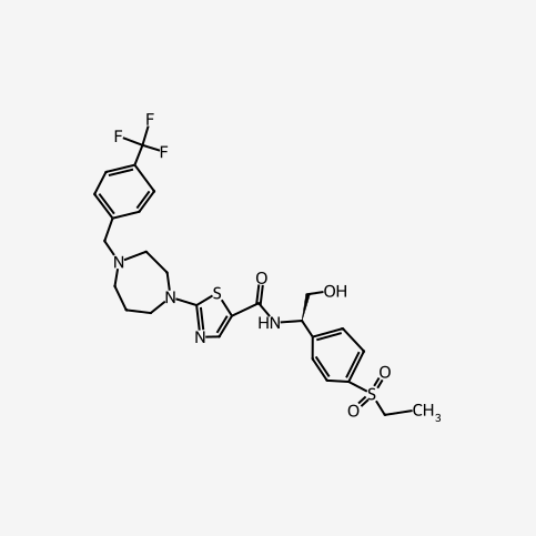 CCS(=O)(=O)c1ccc([C@H](CO)NC(=O)c2cnc(N3CCCN(Cc4ccc(C(F)(F)F)cc4)CC3)s2)cc1